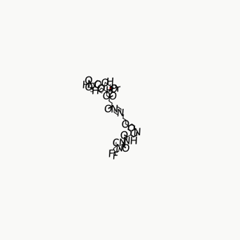 CC(C)[C@]12O[C@H]1[C@@H]1O[C@@]13[C@@]1(C)CCC4=C(COC4=O)[C@@H]1C1C[C@@]3(O1)[C@@H]2OC(=O)CCC(=O)N1CCN(CCCOc2ccc3nccc(C(=O)NCC(=O)N4CC(F)(F)C[C@H]4C#N)c3c2)CC1